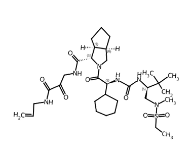 C=CCNC(=O)C(=O)CNC(=O)[C@@H]1[C@H]2CCC[C@H]2CN1C(=O)[C@@H](NC(=O)N[C@H](CN(C)S(=O)(=O)CC)C(C)(C)C)C1CCCCC1